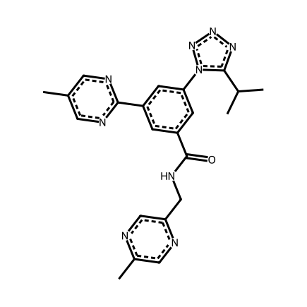 Cc1cnc(-c2cc(C(=O)NCc3cnc(C)cn3)cc(-n3nnnc3C(C)C)c2)nc1